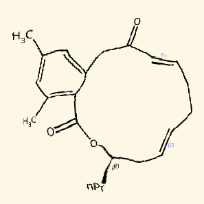 CCC[C@@H]1C/C=C/CC/C=C/C(=O)Cc2cc(C)cc(C)c2C(=O)O1